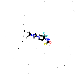 CC(C)N1CC(N2CCC(NC(=O)S)C(F)(F)C2)C1